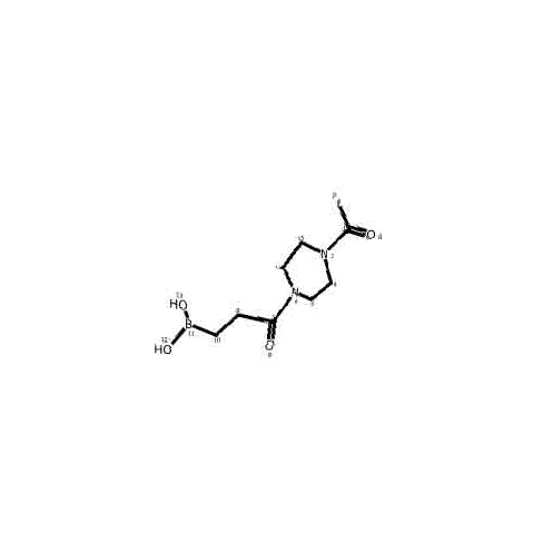 O=C(I)N1CCN(C(=O)CCB(O)O)CC1